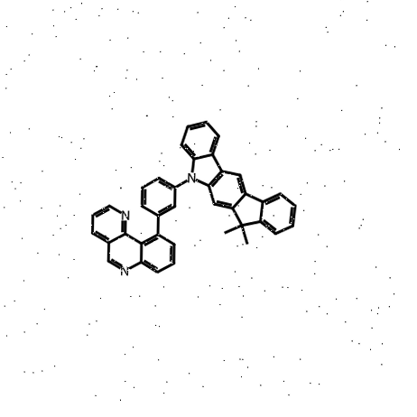 CC1(C)c2ccccc2-c2cc3c4ccccc4n(-c4cccc(-c5cccc6ncc7cccnc7c56)c4)c3cc21